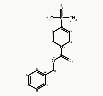 CP(C)(=O)C1=CCN(C(=O)OCc2ccccc2)CC1